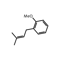 COc1[c]cccc1CC=C(C)C